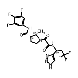 C[C@H]1[C@@H](C(=O)Nc2cc(F)c(F)c(F)c2)CCN1C(=O)C(=O)N[C@@H](CC(F)(F)F)c1c[nH]nn1